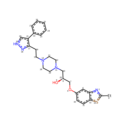 CCc1nc2cc(OC[C@@H](O)CN3CCN(CCc4n[nH]cc4-c4ccccc4)CC3)ccc2s1